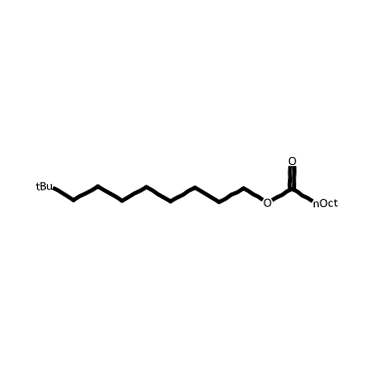 CCCCCCCCC(=O)OCCCCCCCCC(C)(C)C